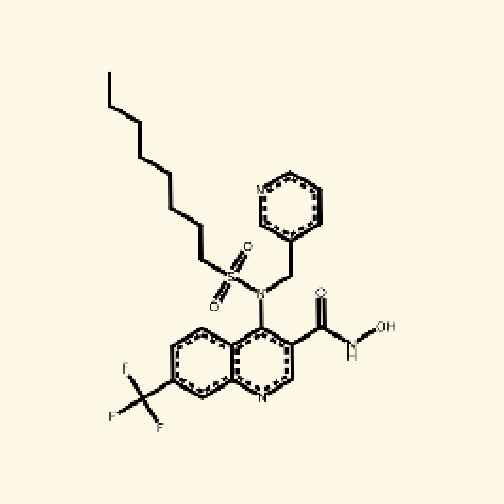 CCCCCCCCS(=O)(=O)N(Cc1cccnc1)c1c(C(=O)NO)cnc2cc(C(F)(F)F)ccc12